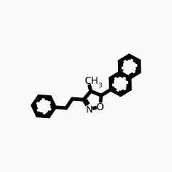 CC1C(CCc2ccccc2)=NOC1c1ccc2ccccc2c1